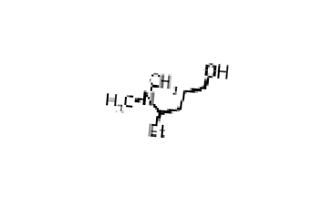 CCC(CCCO)N(C)C